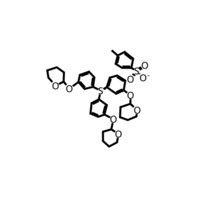 Cc1ccc(S(=O)(=O)[O-])cc1.c1cc(OC2CCCCO2)cc([S+](c2cccc(OC3CCCCO3)c2)c2cccc(OC3CCCCO3)c2)c1